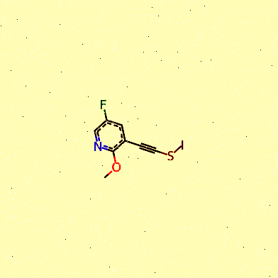 COc1ncc(F)cc1C#CSI